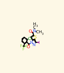 CN(C)C(=O)c1cc2c(s1)c(I)nn2C(=O)c1c(Cl)cccc1C(F)(F)F